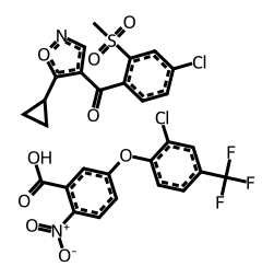 CS(=O)(=O)c1cc(Cl)ccc1C(=O)c1cnoc1C1CC1.O=C(O)c1cc(Oc2ccc(C(F)(F)F)cc2Cl)ccc1[N+](=O)[O-]